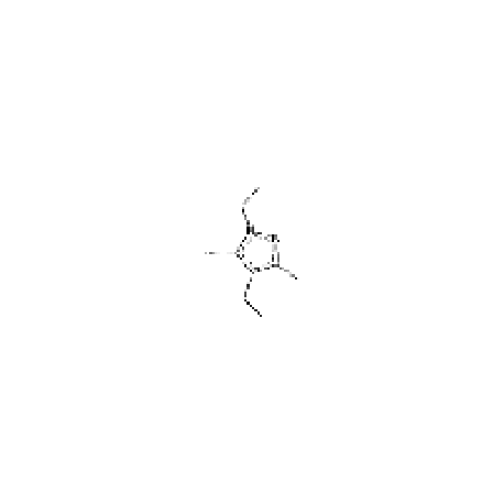 [CH2]c1c(CC)c(C)nn1CC